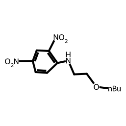 CCCCOCCNc1ccc([N+](=O)[O-])cc1[N+](=O)[O-]